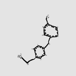 CCc1ccc(Cc2[c]cc(CO)cc2)cc1